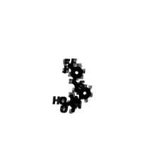 Cc1nn(-c2cccc3sc(Cc4cccc(C(F)(F)F)c4)cc23)c(C)c1C(=O)O